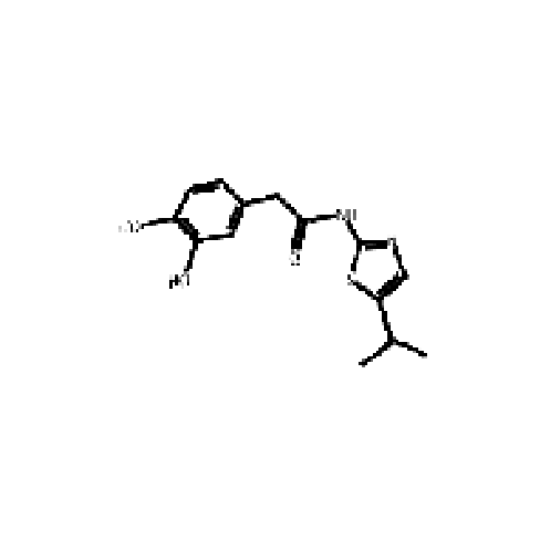 CC(C)c1cnc(NC(=O)Cc2ccc(O)c(O)c2)s1